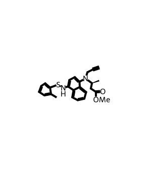 C#CCN(c1ccc(NSc2ccccc2C)c2ccccc12)[C@@H](C)CC(=O)OC